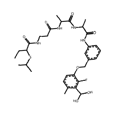 CCC(SC(C)C)C(=O)NCCC(=O)NC(C)C(=O)NC(C)C(=O)Nc1cccc(COc2ccc(C)c(C(O)O)c2F)c1